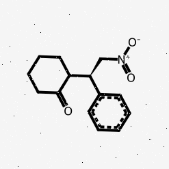 O=C1CCCCC1[C@@H](C[N+](=O)[O-])c1ccccc1